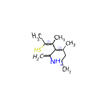 C=C(N)C(=C(/C)CCC)/C(C)=C(/C)S